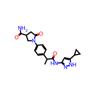 CC(C(=O)Nc1cc(C2CC2)[nH]n1)c1ccc(N2CC(C(N)=O)CC2=O)cc1